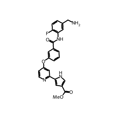 COC(=O)c1c[nH]c(-c2cc(Oc3cccc(C(=O)Nc4cc(CN)ccc4F)c3)ccn2)c1